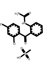 CS(=O)(=O)O.NC(=O)Nc1ccccc1C(=O)c1ccc(Cl)cc1Cl